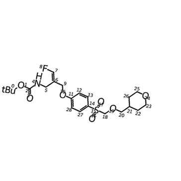 CC(C)(C)OC(=O)NC/C(=C\F)COc1ccc(S(=O)(=O)COCC2CCOCC2)cc1